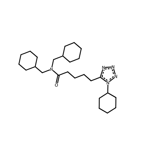 O=C(CCCCc1nnnn1C1CCCCC1)N(CC1CCCCC1)CC1CCCCC1